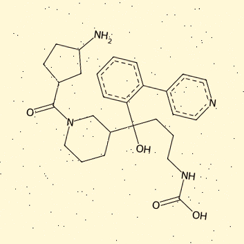 NC1CCC(C(=O)N2CCCC(C(O)(CCCNC(=O)O)c3ccccc3-c3ccncc3)C2)C1